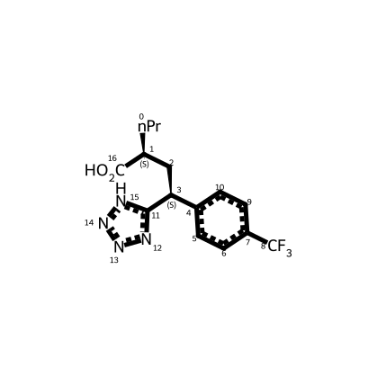 CCC[C@@H](C[C@@H](c1ccc(C(F)(F)F)cc1)c1nnn[nH]1)C(=O)O